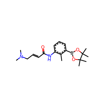 Cc1c(NC(=O)C=CCN(C)C)cccc1B1OC(C)(C)C(C)(C)O1